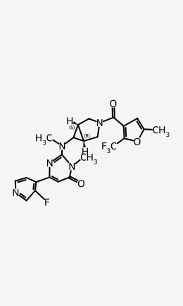 Cc1cc(C(=O)N2C[C@@H]3C(N(C)c4nc(-c5ccncc5F)cc(=O)n4C)[C@@H]3C2)c(C(F)(F)F)o1